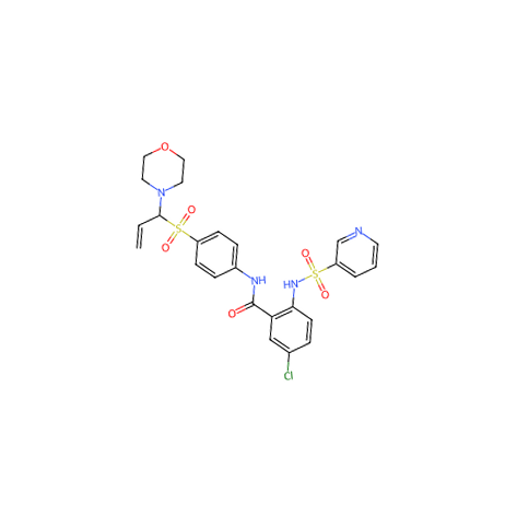 C=CC(N1CCOCC1)S(=O)(=O)c1ccc(NC(=O)c2cc(Cl)ccc2NS(=O)(=O)c2cccnc2)cc1